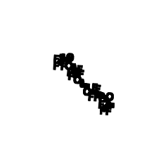 C=C(C(=O)OCC(F)(F)C(F)(F)OCCCOC(F)(F)C(F)(F)COC(=O)C(=C)C(F)(F)F)C(F)(F)F